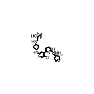 NC1(CNc2cccc(-c3cc(N[C@H]4CC[C@H](NC[C@@H](O)C(F)(F)F)CC4)ncc3Cl)n2)CCOCC1